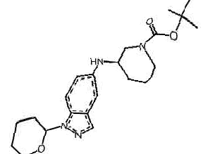 CC(C)(C)OC(=O)N1CCC[C@@H](Nc2ccc3c(cnn3C3CCCCO3)c2)C1